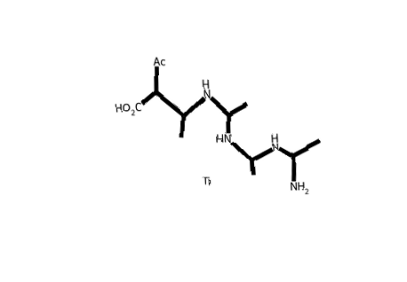 CC(=O)C(C(=O)O)C(C)NC(C)NC(C)NC(C)N.[Ti]